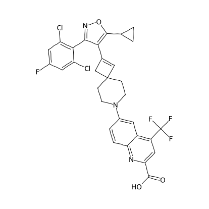 O=C(O)c1cc(C(F)(F)F)c2cc(N3CCC4(C=C(c5c(-c6c(Cl)cc(F)cc6Cl)noc5C5CC5)C4)CC3)ccc2n1